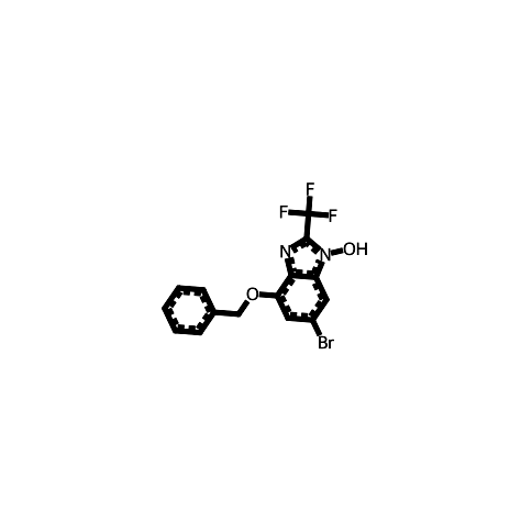 On1c(C(F)(F)F)nc2c(OCc3ccccc3)cc(Br)cc21